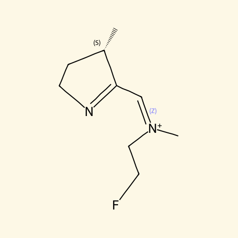 C[C@H]1CCN=C1/C=[N+](/C)CCF